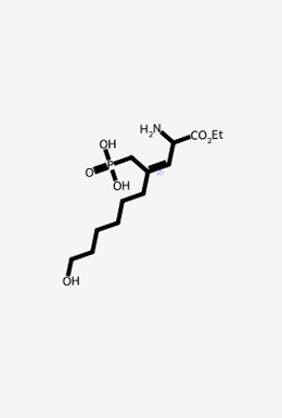 CCOC(=O)C(N)/C=C(/CCCCCCO)CP(=O)(O)O